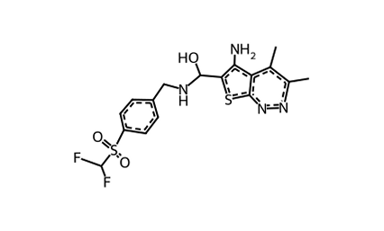 Cc1nnc2sc(C(O)NCc3ccc(S(=O)(=O)C(F)F)cc3)c(N)c2c1C